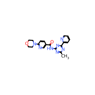 Cc1nc(NC(=O)c2ccc(N3CCOCC3)nc2)nc(-c2ccccn2)n1